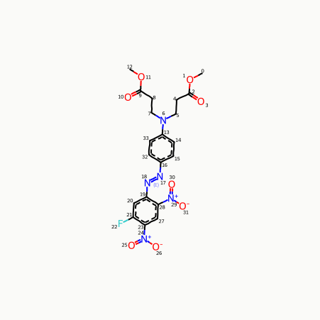 COC(=O)CCN(CCC(=O)OC)c1ccc(/N=N/c2cc(F)c([N+](=O)[O-])cc2[N+](=O)[O-])cc1